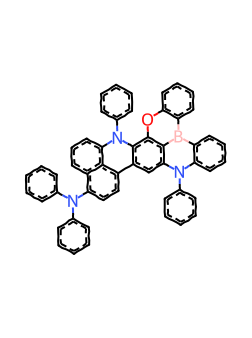 c1ccc(N2c3ccccc3B3c4ccccc4Oc4c3c2cc2c4N(c3ccccc3)c3cccc4c(N(c5ccccc5)c5ccccc5)ccc-2c34)cc1